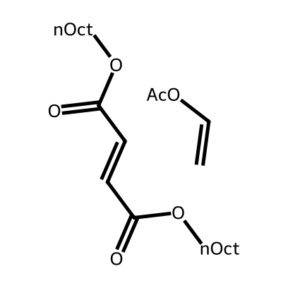 C=COC(C)=O.CCCCCCCCOC(=O)C=CC(=O)OCCCCCCCC